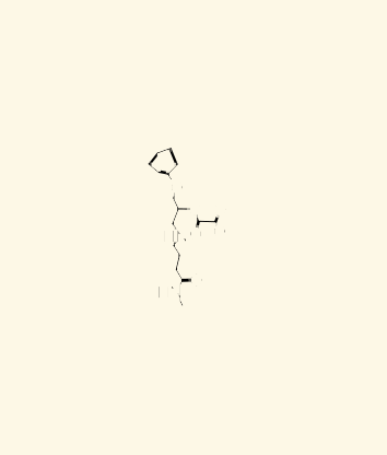 CNC(=O)CCCNCC(COc1ccccc1)OC(=O)C(=O)O